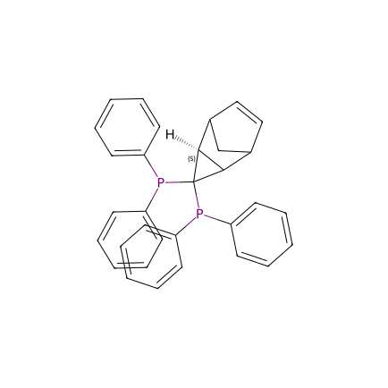 C1=CC2CC1C1[C@H]2C1(P(c1ccccc1)c1ccccc1)P(c1ccccc1)c1ccccc1